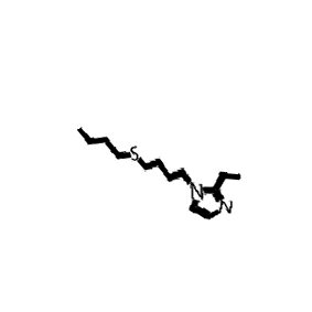 CCCCSCCCCn1ccnc1CC